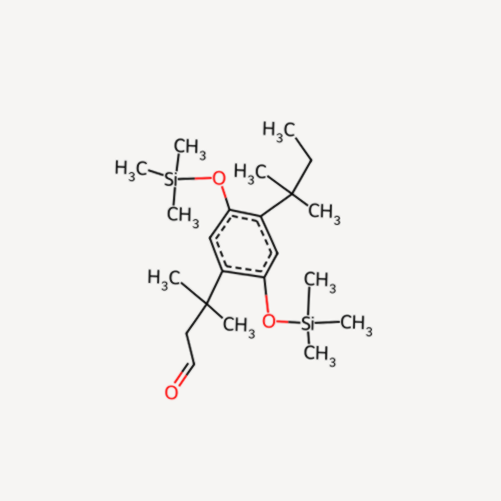 CCC(C)(C)c1cc(O[Si](C)(C)C)c(C(C)(C)CC=O)cc1O[Si](C)(C)C